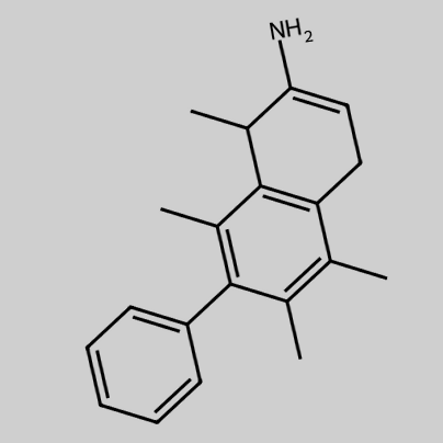 Cc1c(C)c(-c2ccccc2)c(C)c2c1CC=C(N)C2C